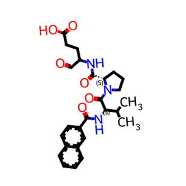 CC(C)[C@H](NC(=O)c1ccc2ccccc2c1)C(=O)N1CCC[C@H]1C(=O)NC(C=O)CCC(=O)O